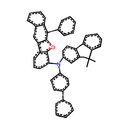 CC1(C)c2ccccc2-c2ccc(N(c3ccc(-c4ccccc4)cc3)c3cccc4c3oc3c(-c5ccccc5)c5ccccc5cc34)cc21